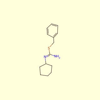 N/C(=N\C1CCCCC1)SCc1ccccc1